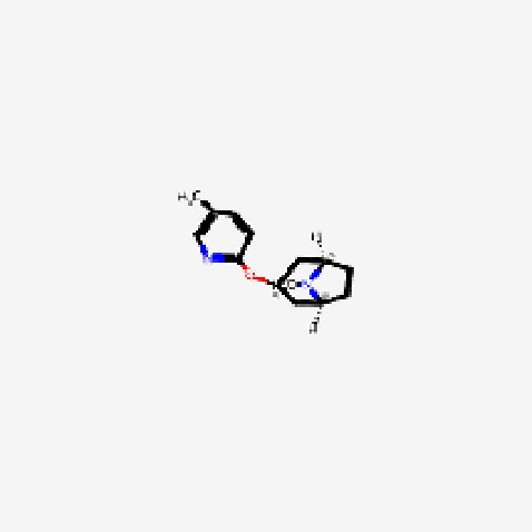 Cc1ccc(O[C@H]2C[C@H]3CC[C@@H](C2)N3C)nc1